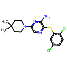 CC1(C)CCN(c2cnc(Sc3cc(Cl)ccc3Cl)c(N)n2)CC1